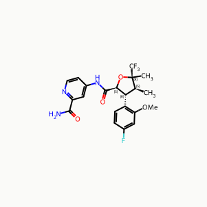 COc1cc(F)ccc1[C@@H]1[C@@H](C(=O)Nc2ccnc(C(N)=O)c2)O[C@@](C)(C(F)(F)F)[C@H]1C